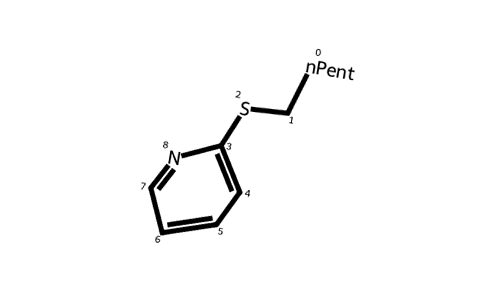 CCCCCCSc1ccccn1